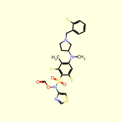 Cc1c(N(C)[C@H]2CCN(Cc3ccccc3F)C2)cc(F)c(S(=O)(=O)N(OC=O)c2cscn2)c1F